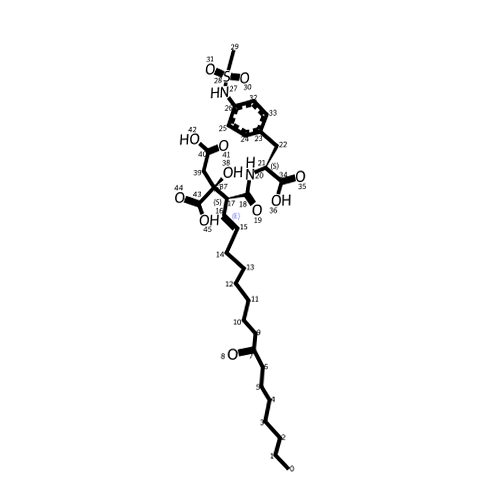 CCCCCCCC(=O)CCCCCC/C=C/[C@H](C(=O)N[C@@H](Cc1ccc(NS(C)(=O)=O)cc1)C(=O)O)[C@@](O)(CC(=O)O)C(=O)O